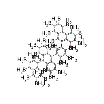 Bc1c(B)c(-c2c3c(B)c(B)c(B)c(B)c3c(-c3c(B)c(B)c(B)c4c(B)c(B)c(B)c(B)c34)c3c(B)c(B)c(B)c(B)c23)c(B)c(-c2c(B)c3c(B)c(B)c(B)c(B)c3c3c(B)c(B)c(B)c(B)c23)c1B